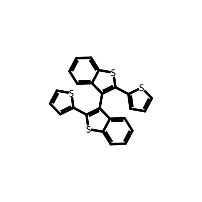 c1csc(-c2sc3ccccc3c2-c2c(-c3cccs3)sc3ccccc23)c1